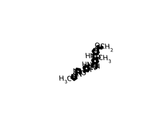 C=CC(=O)N1CCC(Nc2cc3c(Nc4ccc(Oc5ccnc(N6CC[C@@H](C)C6)n5)cc4F)ncnc3cc2OC)CC1